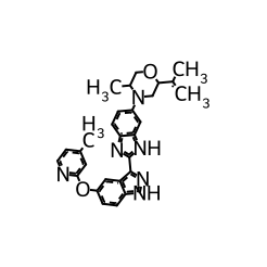 C[C](C)C1CN(c2ccc3nc(-c4n[nH]c5ccc(Oc6cc(C)ccn6)cc45)[nH]c3c2)C(C)CO1